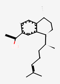 C=C(O)c1ccc2c(c1)[C@H]([C@@H](C)CCC=C(C)C)CC[C@H]2C